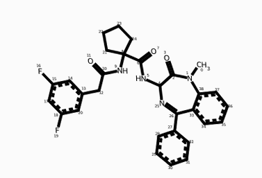 CN1C(=O)C(NC(=O)C2(NC(=O)Cc3cc(F)cc(F)c3)CCCC2)N=C(c2ccccc2)c2ccccc21